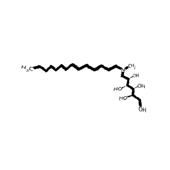 CCCCCCCCCCCCCCN(C)C[C@H](O)[C@@H](O)[C@H](O)[C@H](O)CO